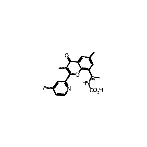 Cc1cc([C@@H](C)NC(=O)O)c2oc(-c3cc(F)ccn3)c(C)c(=O)c2c1